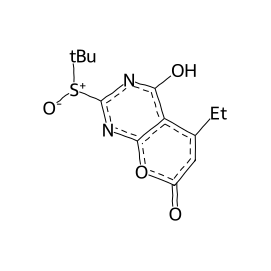 CCc1cc(=O)oc2nc([S+]([O-])C(C)(C)C)nc(O)c12